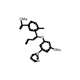 C=C/C=C(/Oc1cc(OC)cc(-n2cccn2)c1)c1cc(C(=C)OC)ccc1C